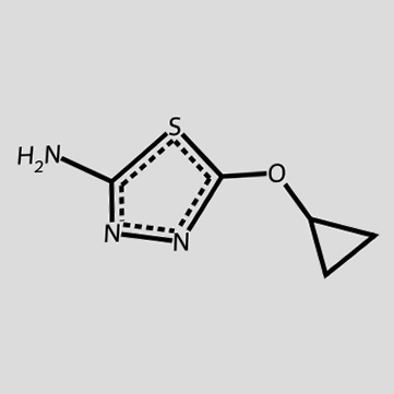 Nc1nnc(OC2CC2)s1